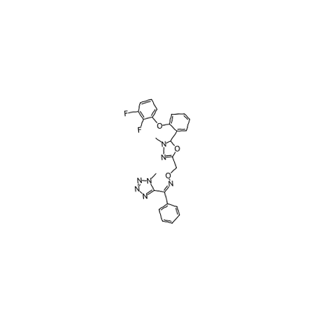 CN1N=C(CO/N=C(/c2ccccc2)c2nnnn2C)OC1c1ccccc1Oc1cccc(F)c1F